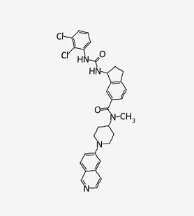 CN(C(=O)c1ccc2c(c1)C(NC(=O)Nc1cccc(Cl)c1Cl)CC2)C1CCN(c2ccc3cnccc3c2)CC1